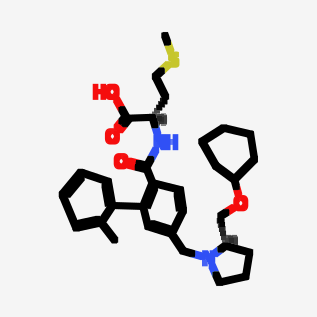 CSCC[C@H](NC(=O)c1ccc(CN2CCC[C@H]2COC2CCCCC2)cc1-c1ccccc1C)C(=O)O